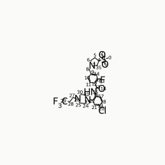 CS(=O)(=O)C1CCN(Cc2ccc(C(=O)Nc3ccc(Cl)cc3N3CCN(CCC(F)(F)F)CC3)c(F)c2)C1